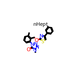 CCCCCCCc1cccc(-c2csc(OCc3c(C)cccc3-n3nnn(C)c3=O)n2)c1